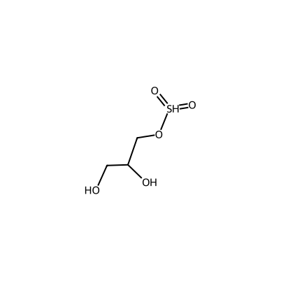 O=[SH](=O)OCC(O)CO